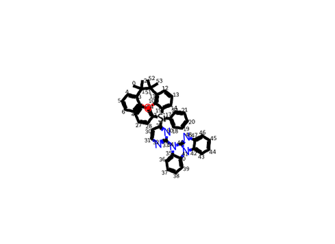 CC1(C)c2ccccc2Oc2c(cccc2[Si](c2ccccc2)(c2ccccc2)c2ccnc(-n3c4ccccc4n4c5ccccc5nc34)n2)C1(C)C